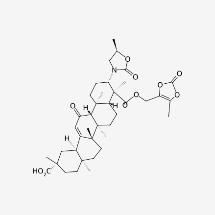 Cc1oc(=O)oc1COC(=O)[C@]1(C)[C@@H](N2C[C@@H](C)OC2=O)CC[C@@]2(C)[C@H]1CC[C@]1(C)[C@@H]2C(=O)C=C2[C@@H]3C[C@@](C)(C(=O)O)CC[C@]3(C)CC[C@]21C